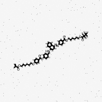 C=C(C)C(=O)OCCCCCCOc1ccc(C(=O)Oc2ccc(CNc3ccc(/N=N/c4ccc(C(=O)OCCCCCCOC(=O)C(C)(C)C(C)(C)C)cc4)c4ccccc34)cc2)cc1